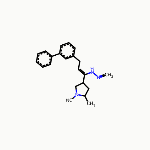 C=NN/C(=C\Cc1cccc(-c2ccccc2)c1)C1CC(C)N(C#N)C1